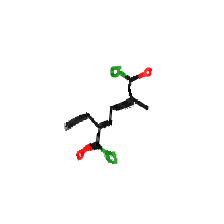 C=C/C(=C\C=C(/C)C(=O)Cl)C(=O)Cl